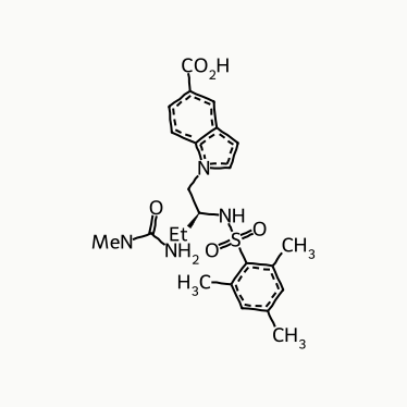 CC[C@@H](Cn1ccc2cc(C(=O)O)ccc21)NS(=O)(=O)c1c(C)cc(C)cc1C.CNC(N)=O